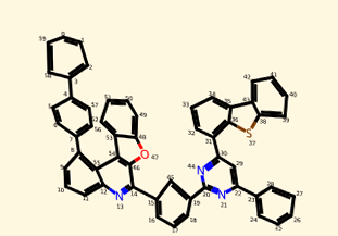 c1ccc(-c2ccc(-c3cccc4nc(-c5cccc(-c6nc(-c7ccccc7)cc(-c7cccc8c7sc7ccccc78)n6)c5)c5oc6ccccc6c5c34)cc2)cc1